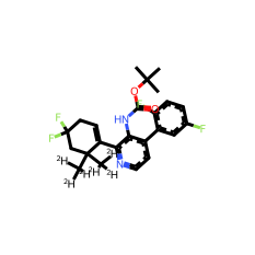 [2H]C([2H])([2H])C1(C([2H])([2H])[2H])CC(F)(F)CC=C1c1nccc(-c2cc(F)ccc2F)c1NC(=O)OC(C)(C)C